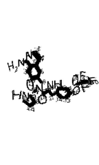 Nc1nccc2cc(CN(C(=O)[C@@H]3CCCN3)C(=O)[C@@H](N)Cc3ccc(OC(=O)C(F)(F)F)cc3)ccc12